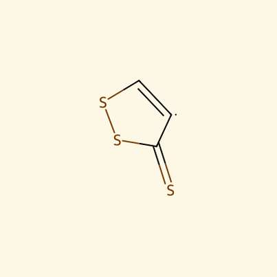 S=c1[c]css1